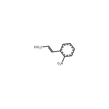 CCOC(=O)/C=C/c1ccccc1[N+](=O)[O-]